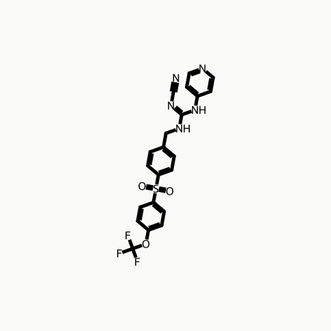 N#CN=C(NCc1ccc(S(=O)(=O)c2ccc(OC(F)(F)F)cc2)cc1)Nc1ccncc1